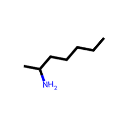 CCCCCC(C)N